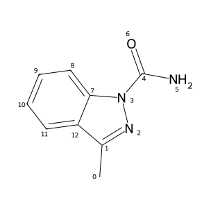 Cc1nn(C(N)=O)c2ccccc12